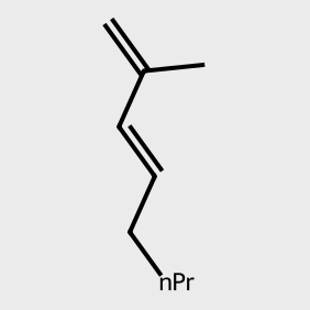 C=C(C)C=CCCCC